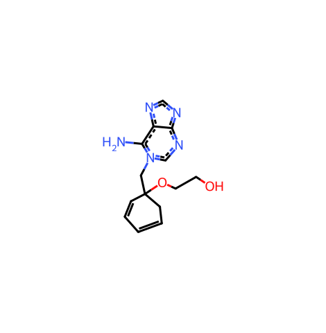 Nc1c2ncnc-2ncn1CC1(OCCO)C=CC=CC1